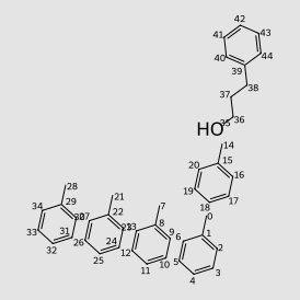 Cc1ccccc1.Cc1ccccc1.Cc1ccccc1.Cc1ccccc1.Cc1ccccc1.OCCCc1ccccc1